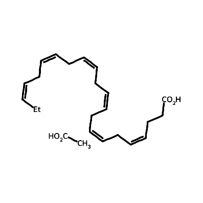 CC(=O)O.CC/C=C\C/C=C\C/C=C\C/C=C\C/C=C\C/C=C\CCC(=O)O